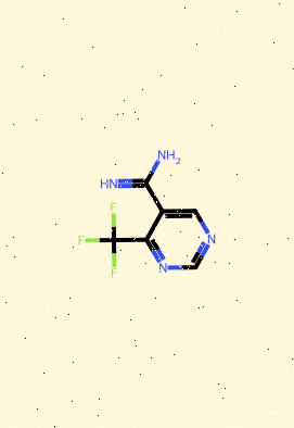 N=C(N)c1cncnc1C(F)(F)F